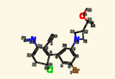 C#CC1=C(c2cc(Br)cc(N3CC(C(=C)OC)C3)c2)C(Cl)CC=C1N=C